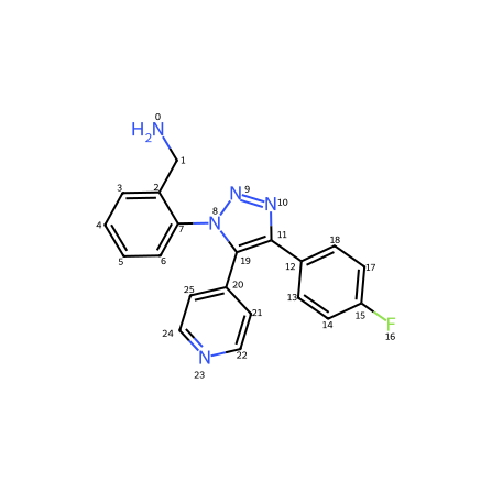 NCc1ccccc1-n1nnc(-c2ccc(F)cc2)c1-c1ccncc1